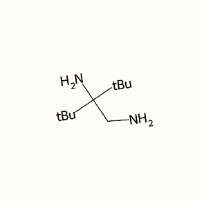 CC(C)(C)C(N)(CN)C(C)(C)C